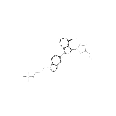 C[Si](C)(C)CCOCn1cnc2cc(-c3sc(N4CCC(CO)C4)c4c(=O)[nH]cnc34)ccc21